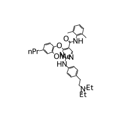 CCCc1ccc(Oc2nc(Nc3ccc(CCN(CC)CC)cc3)ncc2C(=O)Nc2c(C)cccc2C)c(OC)c1